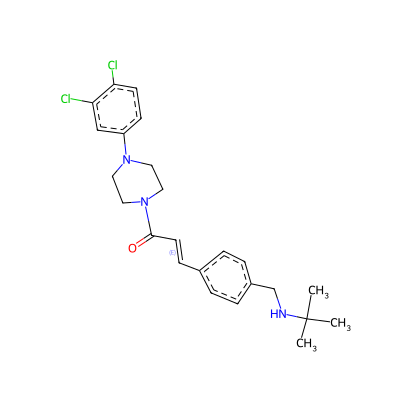 CC(C)(C)NCc1ccc(/C=C/C(=O)N2CCN(c3ccc(Cl)c(Cl)c3)CC2)cc1